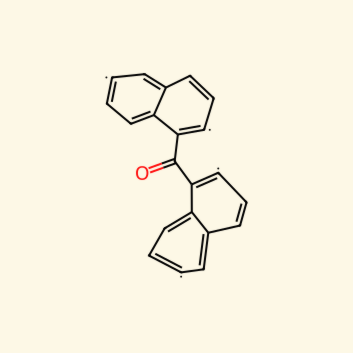 O=C(c1[c]ccc2c[c]ccc12)c1[c]ccc2c[c]ccc12